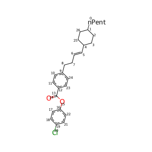 CCCCCC1CCC(C=CCCc2ccc(C(=O)Oc3ccc(Cl)cc3)cc2)CC1